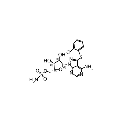 Nc1ncnc2c1c(Sc1ccccc1Cl)nn2[C@@H]1O[C@H](COS(N)(=O)=O)[C@@H](O)[C@H]1O